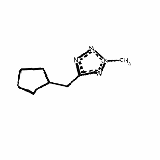 Cn1nnc(CC2CCCC2)n1